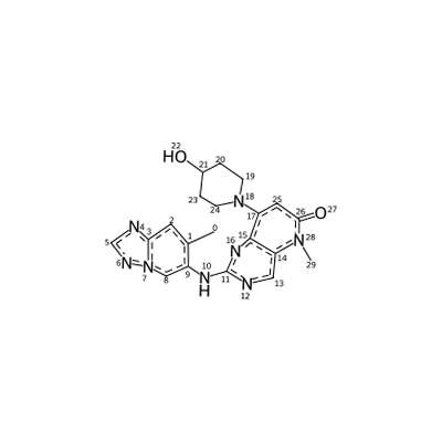 Cc1cc2ncnn2cc1Nc1ncc2c(n1)c(N1CCC(O)CC1)cc(=O)n2C